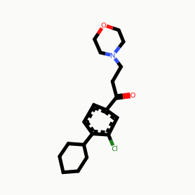 O=C(CCN1CCOCC1)c1ccc(C2CCCCC2)c(Cl)c1